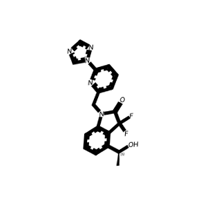 C[C@H](O)c1cccc2c1C(F)(F)C(=O)N2Cc1cccc(-n2cncn2)n1